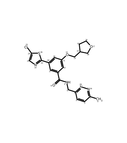 Cc1ccc(CNC(=O)c2cc(OCC3CCOC3)cc(-c3ncc(Cl)s3)c2)nn1